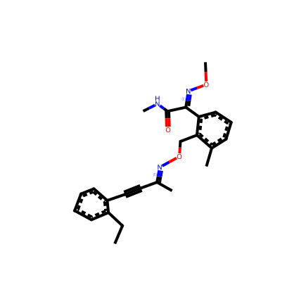 CCc1ccccc1C#C/C(C)=N/OCc1c(C)cccc1/C(=N\OC)C(=O)NC